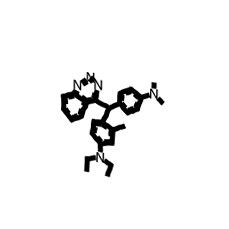 CCN(CC)c1ccc(C(c2ccc(N(C)C)cc2)c2nnnc3ccccc23)c(C)c1